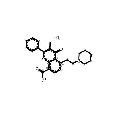 Cc1c(-c2ccccc2)oc2c(C(=O)O)ccc(CCN3CCCCC3)c2c1=O.Cl